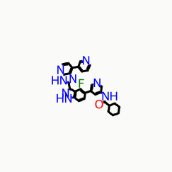 O=C(Nc1cncc(-c2ccc3[nH]nc(-c4nc5c(-c6cccnc6)ccnc5[nH]4)c3c2F)c1)C1CCCCC1